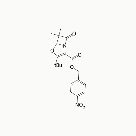 CC(C)(C)C1=C(C(=O)OCc2ccc([N+](=O)[O-])cc2)N2C(=O)C(C)(C)C2O1